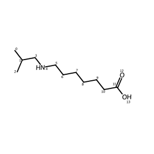 CC(C)CNCCCCCCC(=O)O